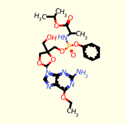 CCOc1nc(N)nc2c1ncn2[C@@H]1OCC(CO)(COP(=O)(NC(C)C(=O)OC(C)C)Oc2ccccc2)O1